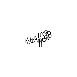 CC1COC(=O)c2c(c3cc(Nc4nc(N5CCC6(CCCN(C)C6=O)CC5)ncc4Cl)ccc3n(C)c2=O)N1